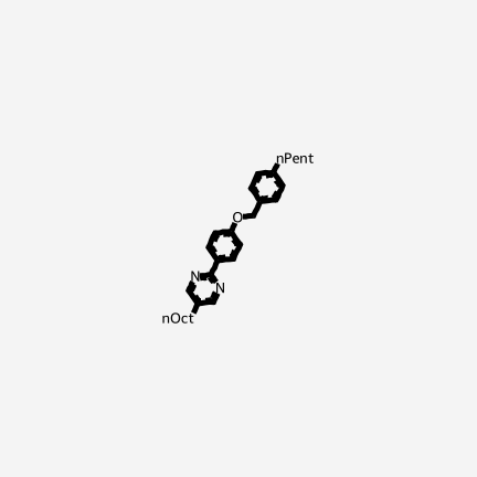 CCCCCCCCc1cnc(-c2ccc(OCc3ccc(CCCCC)cc3)cc2)nc1